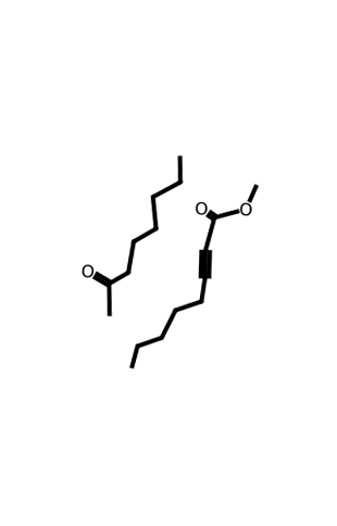 CCCCCC#CC(=O)OC.CCCCCCC(C)=O